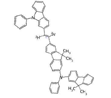 [2H]/C(=C(/[2H])c1ccc2c3ccccc3n(-c3ccccc3)c2c1)c1ccc2c(c1)C(C)(C)c1cc(N(c3ccccc3)c3ccc4c(c3)C(C)(C)c3ccccc3-4)ccc1-2